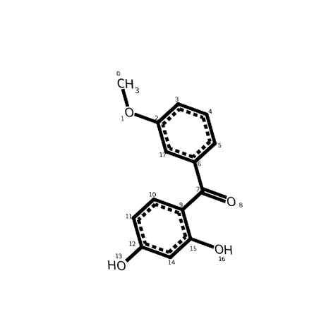 COc1cccc(C(=O)c2ccc(O)cc2O)c1